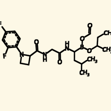 CCC(C)OB(OC=O)C(CC(C)C)NC(=O)CNC(=O)C1CCN1c1ccc(F)cc1F